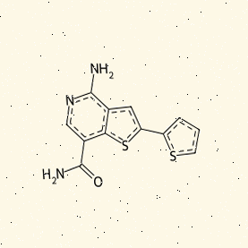 NC(=O)c1cnc(N)c2cc(-c3cccs3)sc12